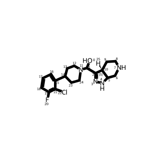 OC(C1=NNC2CNCC[C@H]12)N1CCC(c2cccc(F)c2Cl)CC1